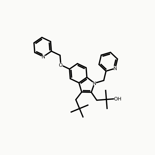 CC(C)(C)Cc1c(CC(C)(C)O)n(Cc2ccccn2)c2ccc(OCc3ccccn3)cc12